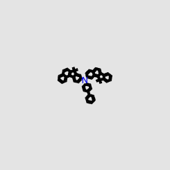 CC1(C)c2cc(N(c3ccc(-c4ccccc4)cc3)c3ccc4ccc5c(c4c3)C(C)(C)c3ccccc3-5)ccc2-c2c1ccc1ccccc21